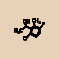 Cc1c(F)ccc(Cl)c1C(C)O